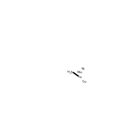 [Cu].[Mn].[Ni].[SiH3][Fe]